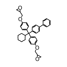 c1ccc(-c2ccc(C(c3ccc(OCC4CO4)cc3)(c3ccc(OCC4CO4)cc3)C3CCCCC3)cc2)cc1